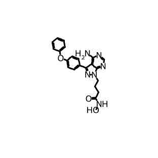 Nc1ncnc2c1c(-c1ccc(Oc3ccccc3)cc1)nn2CCCC(=O)NO